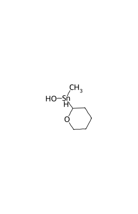 [CH3][SnH]([OH])[CH]1CCCCO1